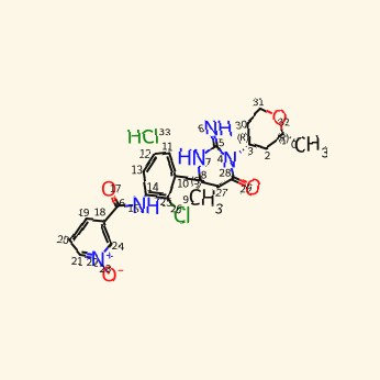 C[C@@H]1C[C@H](N2C(=N)N[C@](C)(c3cccc(NC(=O)c4ccc[n+]([O-])c4)c3Cl)CC2=O)CCO1.Cl